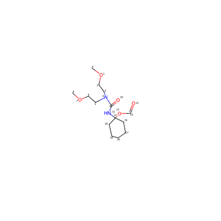 COCCN(CCOC)C(=O)NC1(OC=O)CCCCC1